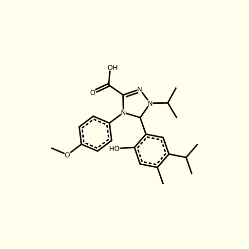 COc1ccc(N2C(C(=O)O)=NN(C(C)C)C2c2cc(C(C)C)c(C)cc2O)cc1